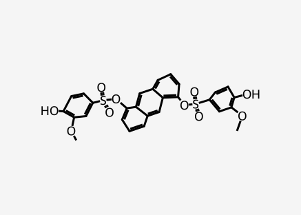 COc1cc(S(=O)(=O)Oc2cccc3cc4c(OS(=O)(=O)c5ccc(O)c(OC)c5)cccc4cc23)ccc1O